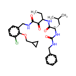 CCC(NC(=O)[C@H](CC(C)C)NC(=O)NCc1ccccc1)C(=O)C(=O)NCc1cccc(Cl)c1OCC1CC1